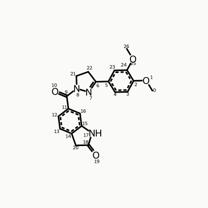 COc1ccc(C2=NN(C(=O)c3ccc4c(c3)NC(=O)C4)CC2)cc1OC